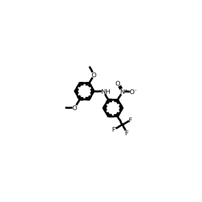 COc1ccc(OC)c(Nc2ccc(C(F)(F)F)cc2[N+](=O)[O-])c1